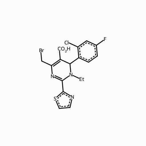 CCN1C(c2nccs2)=NC(CBr)=C(C(=O)O)C1c1ccc(F)cc1Cl